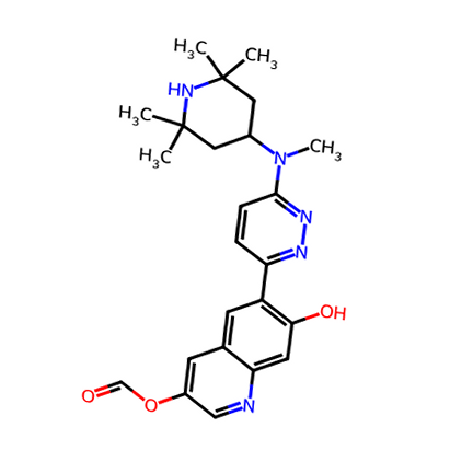 CN(c1ccc(-c2cc3cc(OC=O)cnc3cc2O)nn1)C1CC(C)(C)NC(C)(C)C1